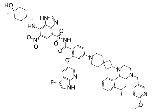 COc1ccc(CN2CCN(C3CC4(CCN(c5ccc(C(=O)NS(=O)(=O)c6cc([N+](=O)[O-])c(NC[C@H]7CC[C@](C)(O)CC7)c7[nH]cnc67)c(Oc6cnc7[nH]cc(F)c7c6)c5)CC4)C3)C(c3ccccc3C(C)C)C2)cn1